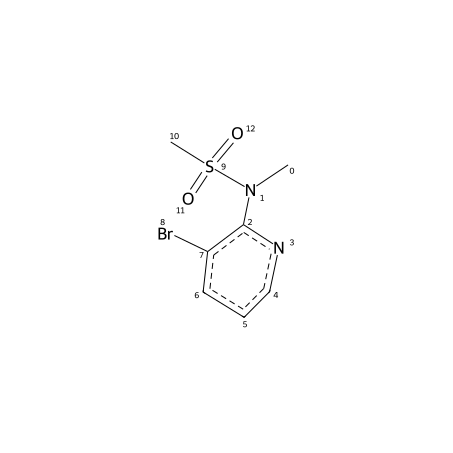 CN(c1ncccc1Br)S(C)(=O)=O